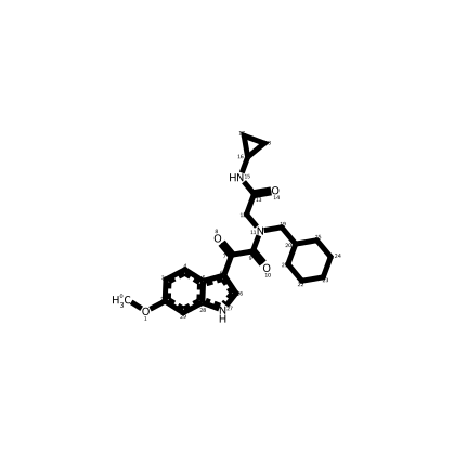 COc1ccc2c(C(=O)C(=O)N(CC(=O)NC3CC3)CC3CCCCC3)c[nH]c2c1